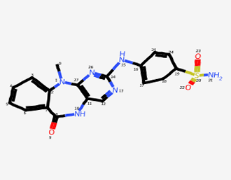 CN1c2ccccc2C(=O)Nc2cnc(NC3=CCC(S(N)(=O)=O)C=C3)nc21